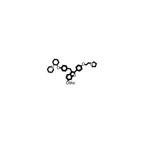 COc1ccc2c(Cc3ccc(O[C@@H]4CCCC[C@H]4N4CCCCC4)cc3)c(-c3ccc(OCCN4CCCC4)cc3)sc2c1